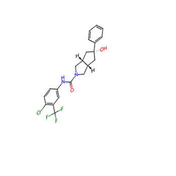 O=C(Nc1ccc(Cl)c(C(F)(F)F)c1)N1C[C@@H]2C[C@@](O)(c3ccccc3)C[C@@H]2C1